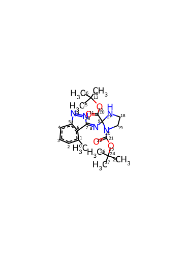 Cc1cccc2c1C(=NC1(C(=O)OC(C)(C)C)NCCN1C(=O)OC(C)(C)C)N=N2